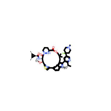 CCO[C@@H]1c2nc(cs2)-c2ccc3c(c2)c(c(-c2cc(C4(F)CCN(C)CC4)cnc2[C@H](C)OC)n3CC)CC(C)(C)COC(=O)[C@@H]2CCCN(N2)C(=O)[C@H]1NC(=O)[C@H]1[C@H](C)[C@@H]1C